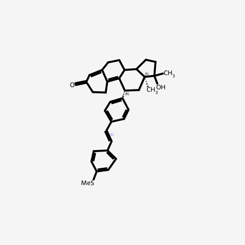 CSc1ccc(/C=C/c2ccc([C@H]3C[C@@]4(C)C(CCC4(C)O)C4CCC5=CC(=O)CCC5=C43)cc2)cc1